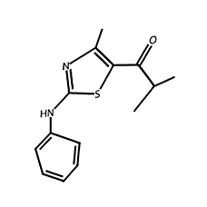 Cc1nc(Nc2ccccc2)sc1C(=O)C(C)C